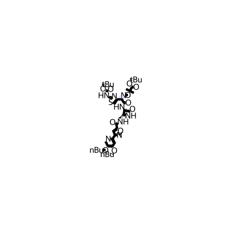 CCCCOc1cnc(-c2cc(C(=O)NC[C@H]3NC(=O)[C@H]3NC(=O)/C(=N\OC(C)(C)C(=O)OC(C)(C)C)c3csc(NC(=O)OC(C)(C)C)n3)on2)cc1OCCCC